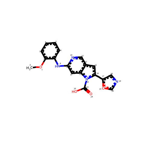 COc1ccccc1Nc1cc2c(cn1)cc(-c1cnco1)n2C(=O)O